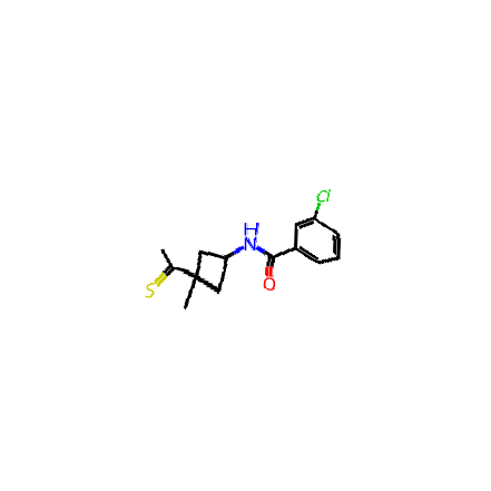 CC(=S)C1(C)CC(NC(=O)c2cccc(Cl)c2)C1